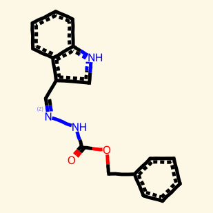 O=C(N/N=C\c1c[nH]c2ccccc12)OCc1ccccc1